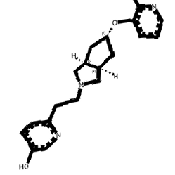 Oc1ccc(CCN2C[C@H]3C[C@H](Oc4cccnc4F)C[C@H]3C2)nc1